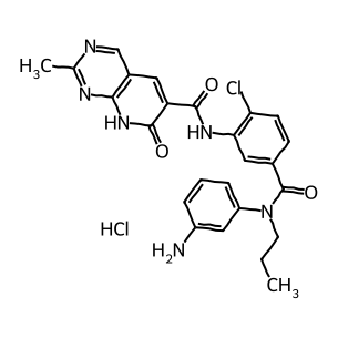 CCCN(C(=O)c1ccc(Cl)c(NC(=O)c2cc3cnc(C)nc3[nH]c2=O)c1)c1cccc(N)c1.Cl